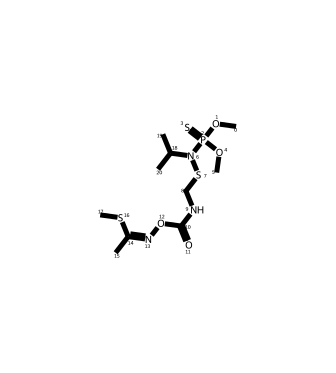 COP(=S)(OC)N(SCNC(=O)ON=C(C)SC)C(C)C